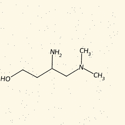 CN(C)CC(N)CCO